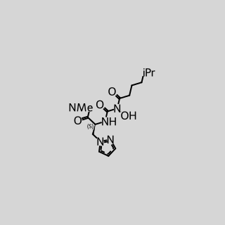 CNC(=O)[C@H](Cn1cccn1)NC(=O)N(O)C(=O)CCCC(C)C